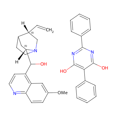 C=C[C@@H]1CN2CCC1C[C@H]2C(O)c1ccnc2ccc(OC)cc12.Oc1nc(-c2ccccc2)nc(O)c1-c1ccccc1